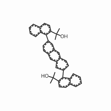 CC(C)(O)c1ccc2ccccc2c1-c1ccc2cc3cc(-c4c(C(C)(C)O)ccc5ccccc45)ccc3cc2c1